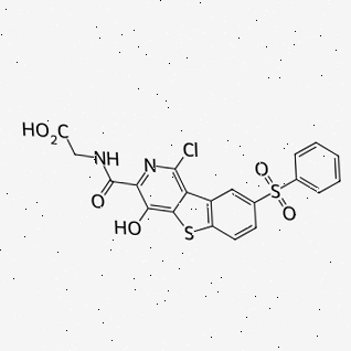 O=C(O)CNC(=O)c1nc(Cl)c2c(sc3ccc(S(=O)(=O)c4ccccc4)cc32)c1O